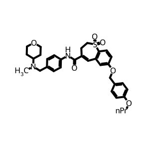 CCCOc1ccc(COc2ccc3c(c2)C=C(C(=O)Nc2ccc(CN(C)C4CCOCC4)cc2)CCS3(=O)=O)cc1